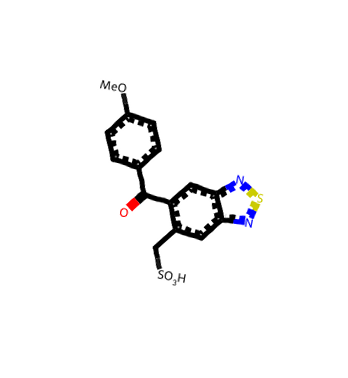 COc1ccc(C(=O)c2cc3nsnc3cc2CS(=O)(=O)O)cc1